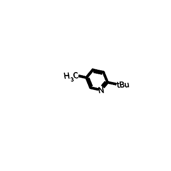 Cc1ccc([14C](C)(C)C)nc1